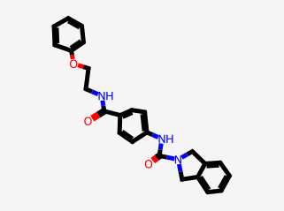 O=C(NCCOc1ccccc1)c1ccc(NC(=O)N2Cc3ccccc3C2)cc1